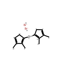 CC1=CC[C]([Zr+2][C]2=C(C)C(C)=CC2)=C1C.[Br-].[Br-]